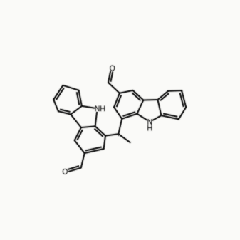 C[C](c1cc(C=O)cc2c1[nH]c1ccccc12)c1cc(C=O)cc2c1[nH]c1ccccc12